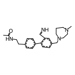 CC(=O)NCCc1ccc(-c2ccc(CN3CCCN(C)CC3)cc2C=N)cc1